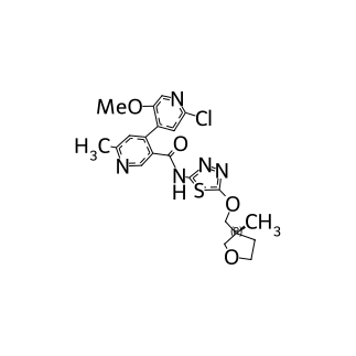 COc1cnc(Cl)cc1-c1cc(C)ncc1C(=O)Nc1nnc(OC[C@]2(C)CCOC2)s1